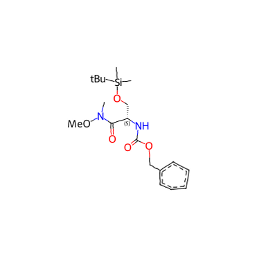 CON(C)C(=O)[C@H](CO[Si](C)(C)C(C)(C)C)NC(=O)OCc1ccccc1